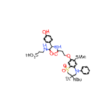 CCCCC1(CC)CN(c2ccccc2)c2cc(SC)c(OCCC(=O)N[C@@H](C(=O)NCCS(=O)(=O)O)c3ccc(O)cc3)cc2S(=O)(=O)C1